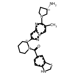 Cc1cn2nc([C@@H]3CCCCN3C(=O)c3ccc4c(c3)SCN4)cc2nc1N1CC[C@H](N)C1